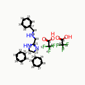 O=C(O)C(F)(F)F.O=C(O)C(F)(F)F.c1ccc(CNCC2=N[C@H](c3ccccc3)[C@H](c3ccccc3)N2)cc1